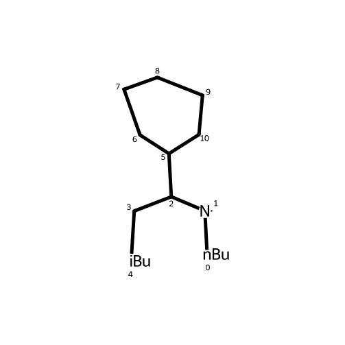 CCCC[N]C(CC(C)CC)C1CCCCC1